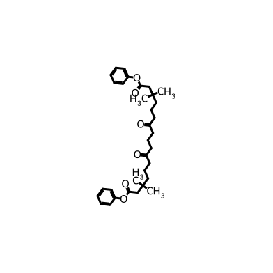 CC(C)(CCCC(=O)CCCC(=O)CCCC(C)(C)CC(=O)Oc1ccccc1)CC(=O)Oc1ccccc1